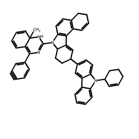 CC12C=CC=CC1=C(c1cc#ccc1)N=C(N1c3ccc4c(c3C3=CC(c5ccc6c(c5)c5ccccc5n6C5C=CCCC5)CCC31)C=CCC4)N2